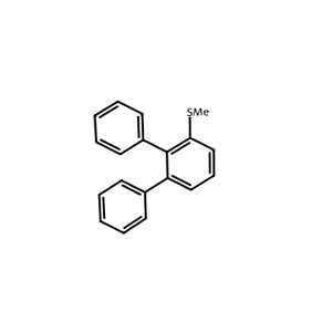 CSc1cccc(-c2ccccc2)c1-c1ccccc1